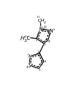 Cc1c(-c2ccsn2)cnn1C